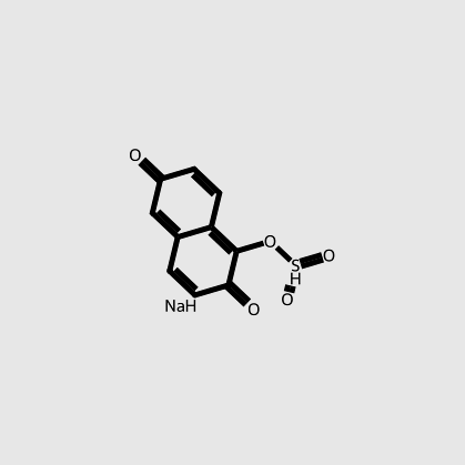 O=C1C=CC2=C(O[SH](=O)=O)C(=O)C=CC2=C1.[NaH]